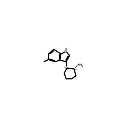 Cc1ccc2[nH]cc([C@@H]3CCCC[C@H]3N)c2c1